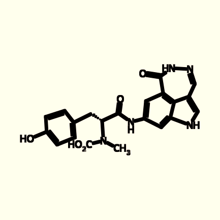 CN(C(=O)O)[C@H](Cc1ccc(O)cc1)C(=O)Nc1cc2c3c(c[nH]c3c1)C=NNC2=O